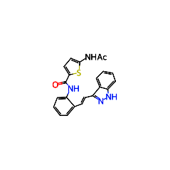 CC(=O)Nc1ccc(C(=O)Nc2ccccc2C=Cc2n[nH]c3ccccc23)s1